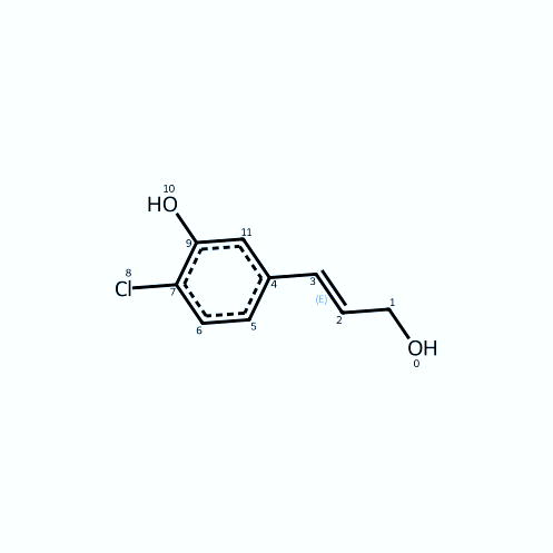 OC/C=C/c1ccc(Cl)c(O)c1